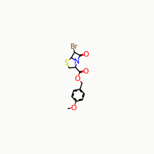 COc1ccc(COC(=O)C2CSC3C(Br)C(=O)N23)cc1